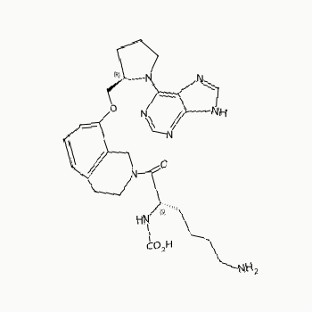 NCCCC[C@H](NC(=O)O)C(=O)N1CCc2cccc(OC[C@H]3CCCN3c3ncnc4[nH]cnc34)c2C1